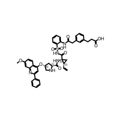 C=C[C@@H]1C[C@@]1(NC(=O)[C@@H]1C[C@@H](Oc2cc(-c3ccccc3)nc3cc(OC)ccc23)CN1)C(=O)NS(=O)(=O)c1ccccc1NC(=O)Cc1cccc(CCC(=O)O)c1